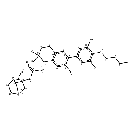 CCCCOc1c(C)cc(-c2cc3c(cc2F)[C@H](NC(=O)O[C@H]2CN4CCC2CC4)C(C)(C)CC3)cc1C